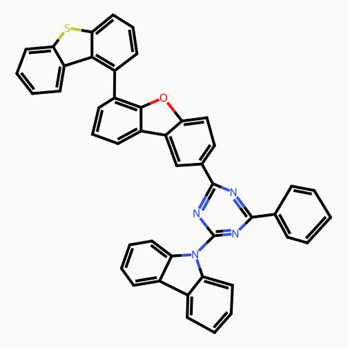 c1ccc(-c2nc(-c3ccc4oc5c(-c6cccc7sc8ccccc8c67)cccc5c4c3)nc(-n3c4ccccc4c4ccccc43)n2)cc1